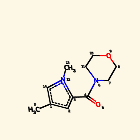 Cc1cc(C(=O)N2CCOCC2)n(C)c1